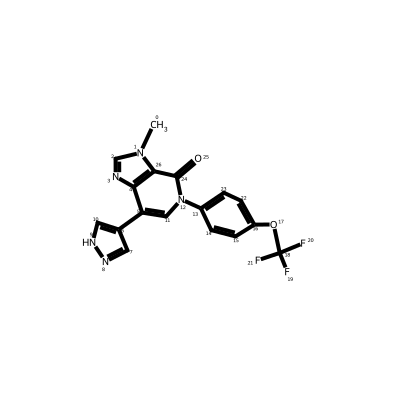 Cn1cnc2c(-c3cn[nH]c3)cn(-c3ccc(OC(F)(F)F)cc3)c(=O)c21